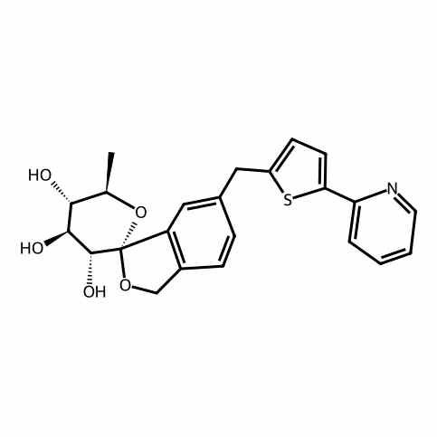 C[C@H]1O[C@]2(OCc3ccc(Cc4ccc(-c5ccccn5)s4)cc32)[C@H](O)[C@@H](O)[C@@H]1O